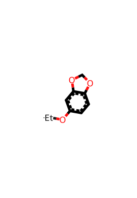 C[CH]Oc1ccc2c(c1)OCO2